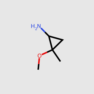 COC1(C)CC1N